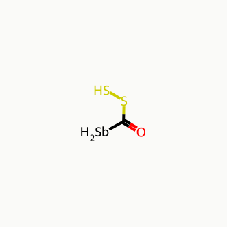 O=[C]([SbH2])SS